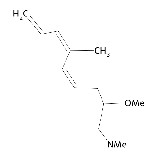 C=C/C=C(C)\C=C/CC(CNC)OC